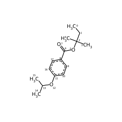 CCC(C)(C)OC(=O)c1ccc(OC(C)C)cc1